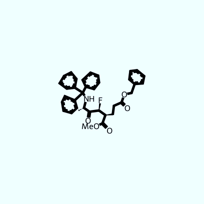 COC(=O)[C@H](CCC(=O)OCc1ccccc1)[C@H](F)C(=O)[C@H](C)NC(c1ccccc1)(c1ccccc1)c1ccccc1